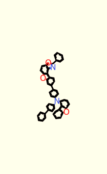 c1ccc(-c2ccc(N(c3ccc(-c4ccc5c(c4)oc4ccc6oc(-c7ccccc7)nc6c45)cc3)c3cccc4oc5ccccc5c34)cc2)cc1